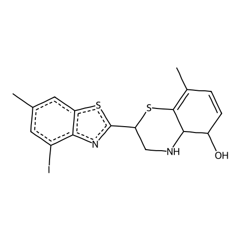 CC1=C2SC(c3nc4c(I)cc(C)cc4s3)CNC2C(O)C=C1